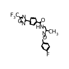 CC(CNC(=O)c1ccc(-c2noc(C(F)(F)F)n2)cc1)=NOCc1ccc(F)cc1